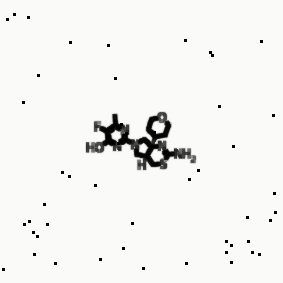 Cc1nc(N2C[C@H]3CSC(N)=N[C@@]3(C3CCOCC3)C2)nc(O)c1F